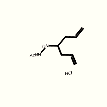 C=CCC(CC=C)NNC(C)=O.Cl